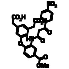 COC(=O)c1ccc(Oc2cc(CC(=O)O)cc(CC(=O)O)c2)c(NC(=O)CC(=O)c2ccc([N+](=O)[O-])cc2)c1